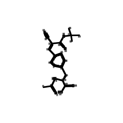 CC(=O)N[C@@H](Cc1ccc(C=C(C#N)C(=O)OC(C)(C)C)cc1)C(=O)O